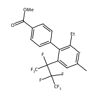 CCc1[c]c(C)cc(C(F)(C(F)(F)F)C(F)(F)C(F)(F)F)c1-c1ccc(C(=O)OC)cc1